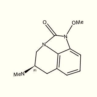 CN[C@@H]1Cc2cccc3c2n(c(=O)n3OC)C1